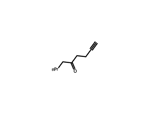 C#CCCC(=O)CCCC